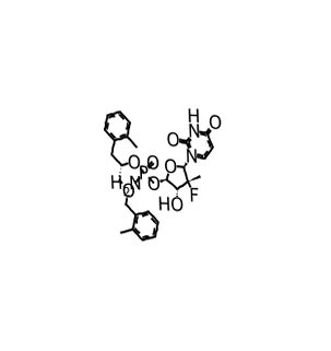 Cc1ccccc1COC[C@H](Cc1ccccc1C)OP(N)(=O)O[C@H]1O[C@@H](n2ccc(=O)[nH]c2=O)[C@](C)(F)[C@@H]1O